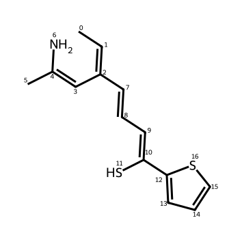 C/C=C(\C=C(\C)N)/C=C/C=C(\S)c1cccs1